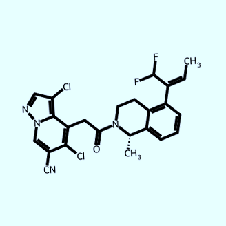 C/C=C(/c1cccc2c1CCN(C(=O)Cc1c(Cl)c(C#N)cn3ncc(Cl)c13)[C@H]2C)C(F)F